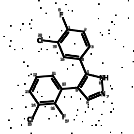 Fc1ccc(-c2[nH]ncc2-c2cccc(Cl)c2F)cc1Cl